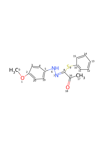 COc1ccc(NN=C(Sc2ccccc2)C(C)=O)cc1